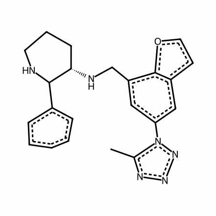 Cc1nnnn1-c1cc(CN[C@H]2CCCNC2c2ccccc2)c2occc2c1